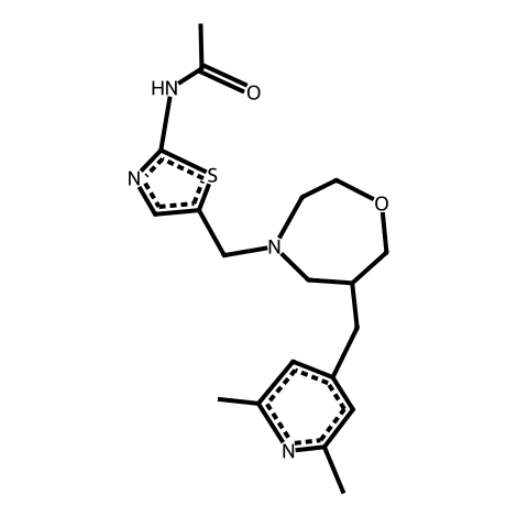 CC(=O)Nc1ncc(CN2CCOCC(Cc3cc(C)nc(C)c3)C2)s1